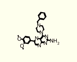 COc1ccc(-c2cnc3nc(N)nc(N4CCN(Cc5ccccc5)CC4)c3n2)cc1OC